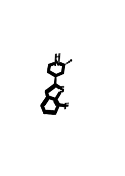 C[C@@H]1C[C@@H](c2cc3cccc(F)c3s2)CCN1